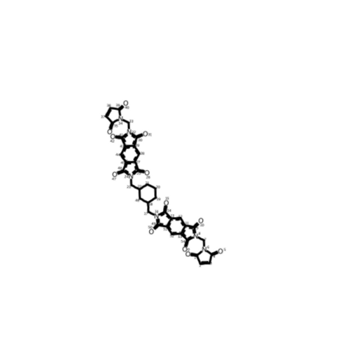 O=C1C=CC(=O)N1Cn1c(=O)c2cc3c(=O)n(CC4CCCC(Cn5c(=O)c6cc7c(=O)n(CN8C(=O)C=CC8=O)c(=O)c7cc6c5=O)C4)c(=O)c3cc2c1=O